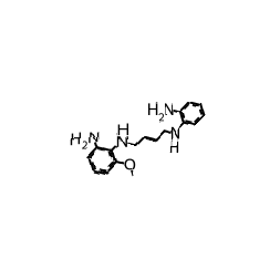 COc1cccc(N)c1NC/C=C/CNc1ccccc1N